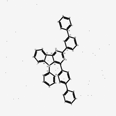 c1ccc(-c2ccc(-c3nc(-c4cccc(-c5ccccc5)c4)nc4c5ccccc5n(-c5ccccc5)c34)cc2)cc1